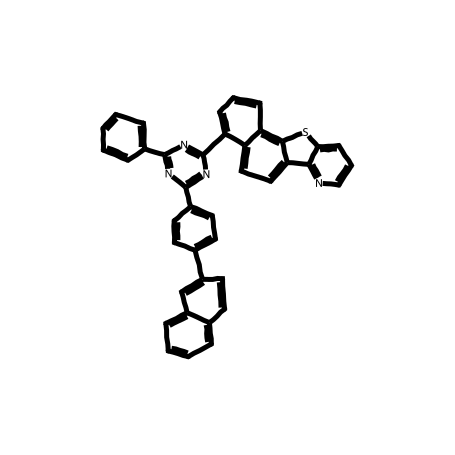 c1ccc(-c2nc(-c3ccc(-c4ccc5ccccc5c4)cc3)nc(-c3cccc4c3ccc3c5ncccc5sc43)n2)cc1